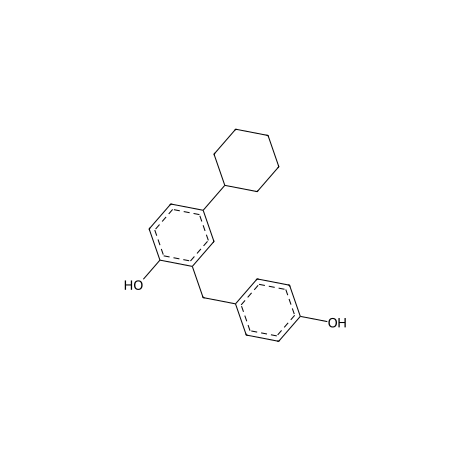 Oc1ccc(Cc2cc(C3CCCCC3)ccc2O)cc1